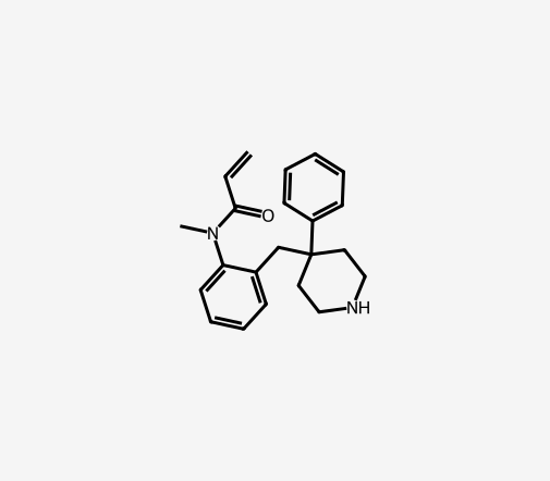 C=CC(=O)N(C)c1ccccc1CC1(c2ccccc2)CCNCC1